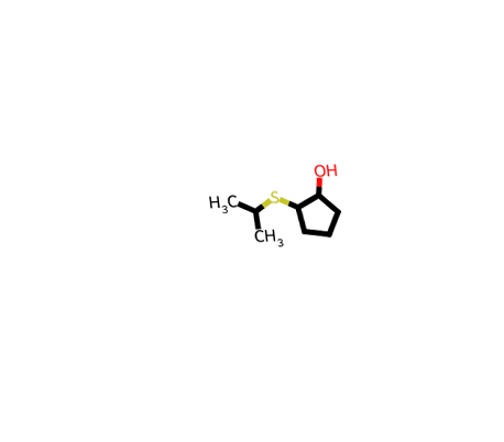 CC(C)SC1CCCC1O